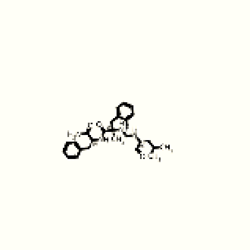 CC(C)C[C@@H](C=O)NCN[C@@](C)(Cc1ccccc1F)C(=O)N[C@@H](Cc1ccccc1)C(N)=O